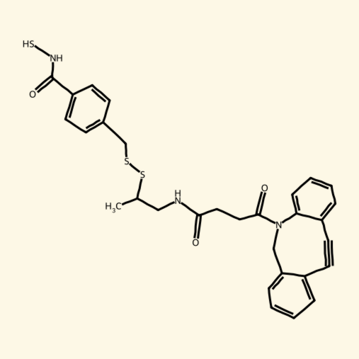 CC(CNC(=O)CCC(=O)N1Cc2ccccc2C#Cc2ccccc21)SSCc1ccc(C(=O)NS)cc1